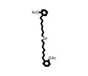 CC(=O)Oc1ccccc1CCCCCCC[Se]CCCCCCCc1ccccc1OC(C)=O